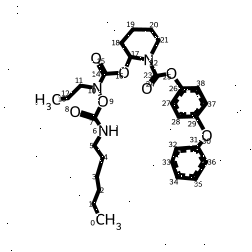 CCCCCCNC(=O)ON(CCC)C(=O)OC1CCCCN1C(=O)Oc1ccc(Oc2ccccc2)cc1